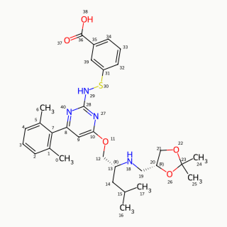 Cc1cccc(C)c1-c1cc(OC[C@@H](CC(C)C)NC[C@@H]2COC(C)(C)O2)nc(NSc2cccc(C(=O)O)c2)n1